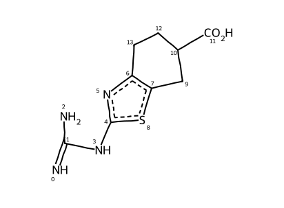 N=C(N)Nc1nc2c(s1)CC(C(=O)O)CC2